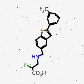 O=C(O)C(F)CNCc1ccc2sc(-c3cccc(C(F)(F)F)c3)cc2c1